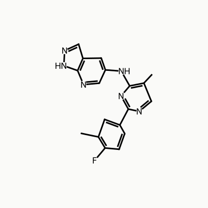 Cc1cc(-c2ncc(C)c(Nc3cnc4[nH]ncc4c3)n2)ccc1F